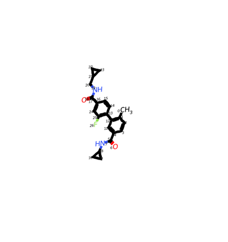 Cc1ccc(C(=O)NC2CC2)cc1-c1ccc(C(=O)NCC2CC2)cc1F